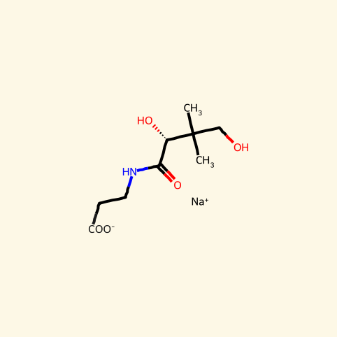 CC(C)(CO)[C@@H](O)C(=O)NCCC(=O)[O-].[Na+]